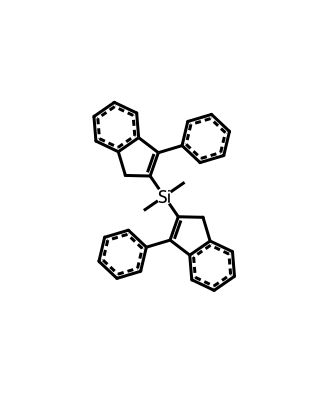 C[Si](C)(C1=C(c2ccccc2)c2ccccc2C1)C1=C(c2ccccc2)c2ccccc2C1